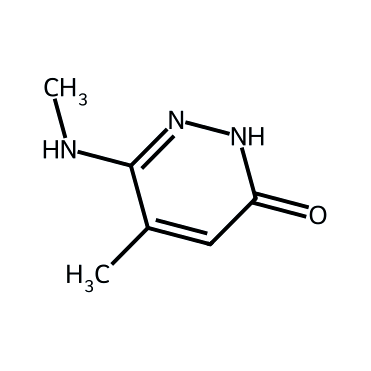 CNc1n[nH]c(=O)cc1C